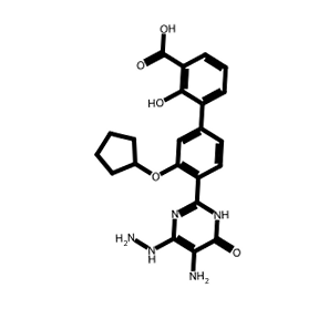 NNc1nc(-c2ccc(-c3cccc(C(=O)O)c3O)cc2OC2CCCC2)[nH]c(=O)c1N